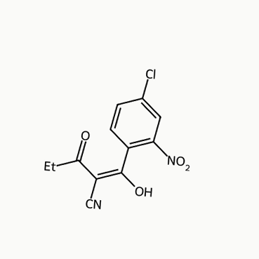 CCC(=O)C(C#N)=C(O)c1ccc(Cl)cc1[N+](=O)[O-]